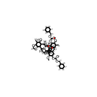 COc1cc2c(cc1OC(=O)OCc1ccccc1)CCN[C@]21CS[C@@H]2c3c(O)c(C)c4c(c3[C@H](COC1=O)N1C2[C@@H]2c3c(cc(C)c(OC)c3OC(=O)OCc3ccccc3)C[C@@H]([C@@H]1O)N2C)OCO4